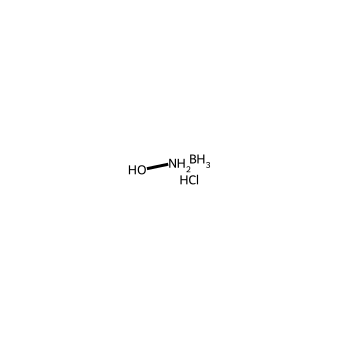 B.Cl.NO